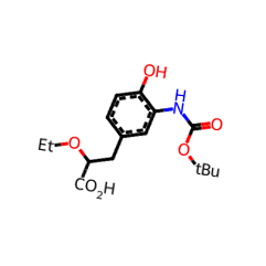 CCOC(Cc1ccc(O)c(NC(=O)OC(C)(C)C)c1)C(=O)O